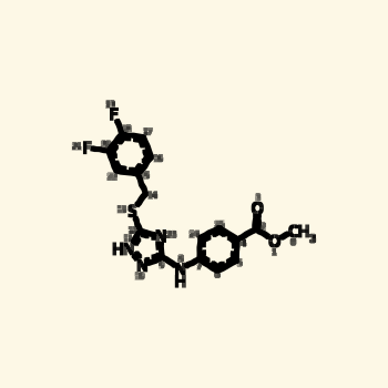 COC(=O)c1ccc(Nc2n[nH]c(SCc3ccc(F)c(F)c3)n2)cc1